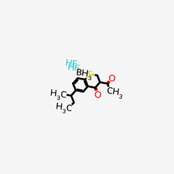 B.CCC(C)c1ccc2c(c1)C(=O)C(C(C)=O)CS2.F.F